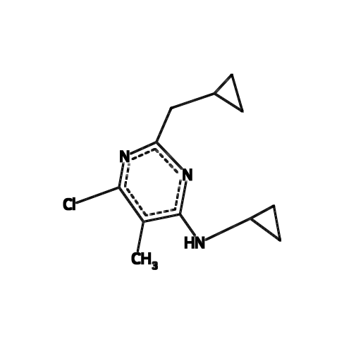 Cc1c(Cl)nc(CC2CC2)nc1NC1CC1